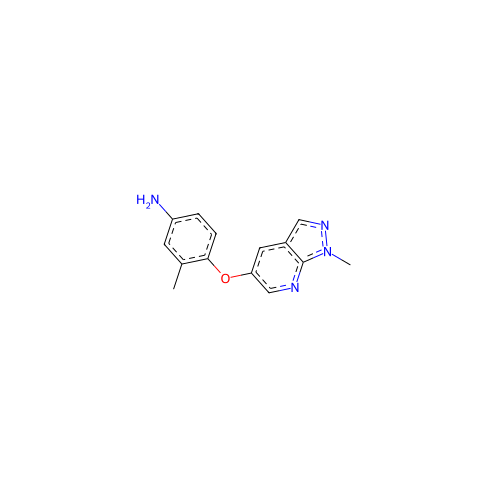 Cc1cc(N)ccc1Oc1cnc2c(cnn2C)c1